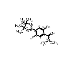 CN(C)C(=O)c1cc(F)c(B2OC(C)(C)C(C)(C)O2)cc1F